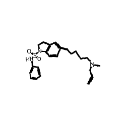 C=CCN(C)CCCCCc1ccc2c(c1)CCN2S(=O)(=O)Nc1ccccc1